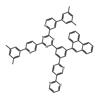 Cc1cc(C)cc(-c2ccnc(-c3nc(-c4ccc(-c5cc(C)cc(C)c5)nc4)nc(-c4cc(-c5ccc(-c6ncccn6)cn5)cc(-c5cc6ccccc6c6ccccc56)c4)n3)c2)c1